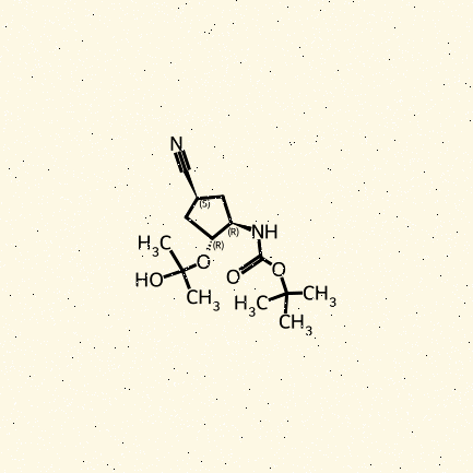 CC(C)(C)OC(=O)N[C@@H]1C[C@H](C#N)C[C@H]1OC(C)(C)O